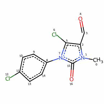 Cn1c(C=O)c(Cl)n(-c2ccc(Cl)cc2)c1=O